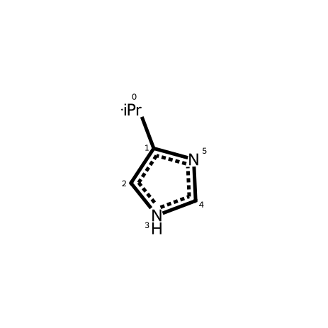 C[C](C)c1c[nH]cn1